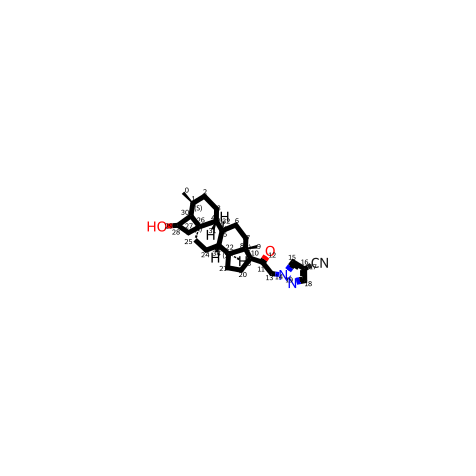 C[C@H]1CC[C@@H]2[C@H]3CC[C@]4(C)C(C(=O)Cn5cc(C#N)cn5)CC[C@H]4[C@@H]3CC[C@@]23CC(O)C13